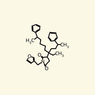 CCC(CCCCC(C)c1ccccc1)(CCC(C)c1ccccc1)C1CC(=O)N(Cc2ccoc2)C1=O